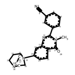 Cn1c(-c2cccc(C#N)c2)nc2cc(N3CCN4CCC3CC4)ccc2c1=O